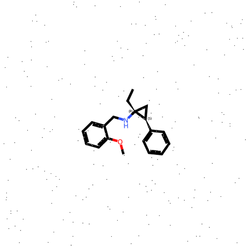 CC[C@@]1(NCc2ccccc2OC)C[C@H]1c1ccccc1